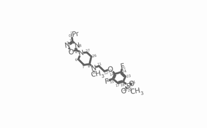 CC(C)c1noc(N2CCC(N(C)CCOc3c(F)cc(S(C)(=O)=O)cc3F)CC2)n1